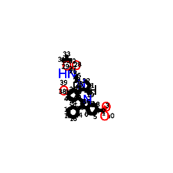 COC(=O)c1ccc2c(C3CCCCC3)c3n(c2c1)C[C@@H]1CCN(CCNC(=O)OC(C)(C)C)[C@H]1c1cc(OC)ccc1-3